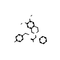 COc1cc2c(cc1OC)[C@H](CCc1ccc(Br)cc1)N([C@@H](C(N)=O)c1ccccc1)CC2